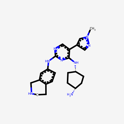 Cn1cc(-c2cnc(Nc3ccc4c(c3)CNCC4)nc2N[C@H]2CC[C@@H](N)CC2)cn1